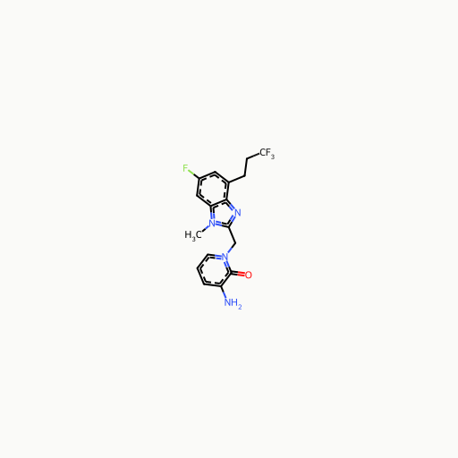 Cn1c(Cn2cccc(N)c2=O)nc2c(CCC(F)(F)F)cc(F)cc21